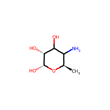 C[C@H]1O[C@H](O)[C@H](O)C(O)C1N